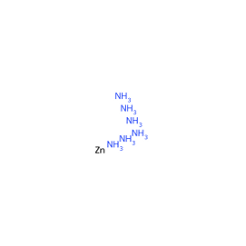 N.N.N.N.N.N.[Zn]